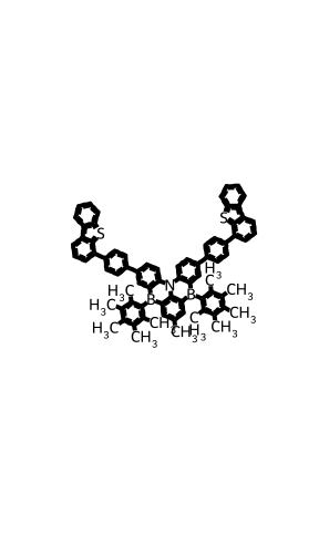 Cc1cc2c3c(c1)B(c1c(C)c(C)c(C)c(C)c1C)c1cc(-c4ccc(-c5cccc6c5sc5ccccc56)cc4)ccc1N3c1ccc(-c3ccc(-c4cccc5c4sc4ccccc45)cc3)cc1B2c1c(C)c(C)c(C)c(C)c1C